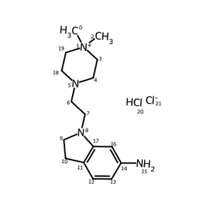 C[N+]1(C)CCN(CCN2CCc3ccc(N)cc32)CC1.Cl.[Cl-]